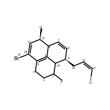 CC1CCC2=C3C(C=C[C@@H](C/C=C\I)C31)[C@H](C)C=C2Br